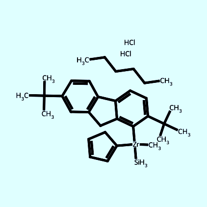 CC(C)(C)c1ccc2c(c1)Cc1c-2ccc(C(C)(C)C)[c]1[Zr]([CH3])([SiH3])[C]1=CC=CC1.CCCCCC.Cl.Cl